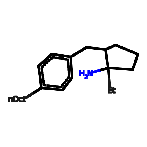 CCCCCCCCc1ccc(CC2CCCC2(N)CC)cc1